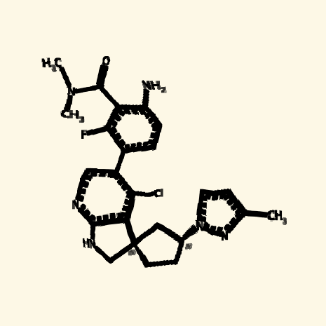 Cc1ccn([C@H]2CC[C@]3(CNc4ncc(-c5ccc(N)c(C(=O)N(C)C)c5F)c(Cl)c43)C2)n1